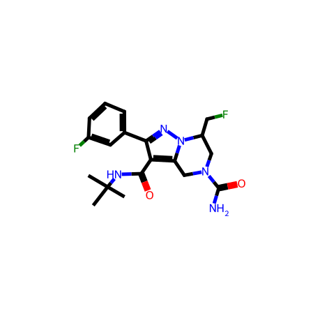 CC(C)(C)NC(=O)c1c(-c2cccc(F)c2)nn2c1CN(C(N)=O)CC2CF